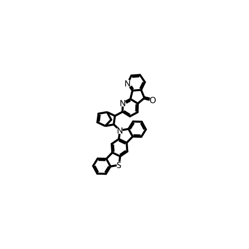 O=C1c2cccnc2-c2nc(C3C4C=CC(C4)C3n3c4ccccc4c4cc5sc6ccccc6c5cc43)ccc21